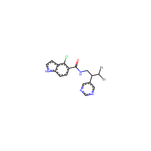 CCC(CC)C(CNC(=O)c1ccc2[nH]ccc2c1Cl)c1cncnc1